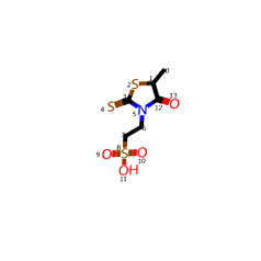 CC1SC(=S)N(CCS(=O)(=O)O)C1=O